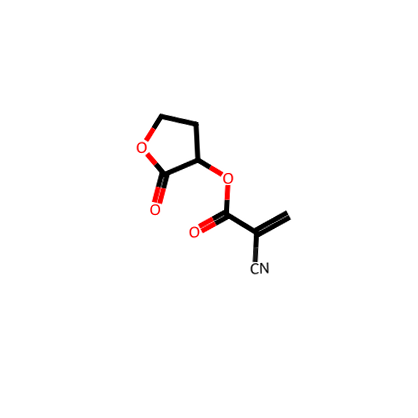 C=C(C#N)C(=O)OC1CCOC1=O